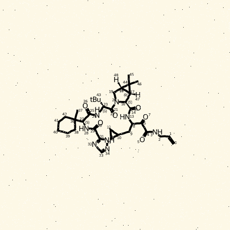 C=CCNC(=O)C(=O)C(CC1CC1)NC(=O)[C@@H]1[C@@H]2[C@H](CN1C(=O)[C@@H](NC(=O)[C@@H](NC(=O)c1ncn[nH]1)C1(C)CCCCC1)C(C)(C)C)C2(C)C